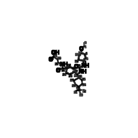 CCOc1ccc(NC(=O)NC(c2ccc(C(=O)NCCC(=O)O)cc2)C2CCC(C(C)(C)C)CC2)cc1